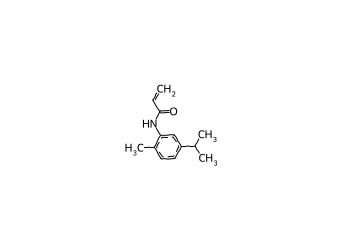 C=CC(=O)Nc1cc(C(C)C)ccc1C